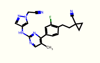 Cc1cnc(Nc2cnn(CC#N)c2)nc1-c1ccc(CCC2(C#N)CC2)c(F)c1